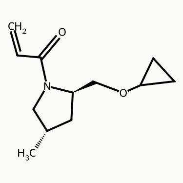 C=CC(=O)N1C[C@@H](C)C[C@@H]1COC1CC1